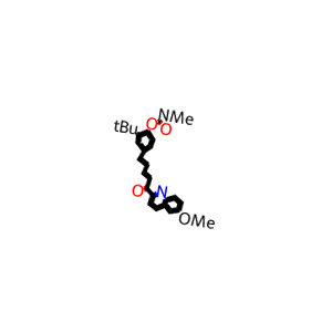 CNC(=O)Oc1ccc(/C=C/C=C/C(=O)c2ccc3cc(OC)ccc3n2)cc1C(C)(C)C